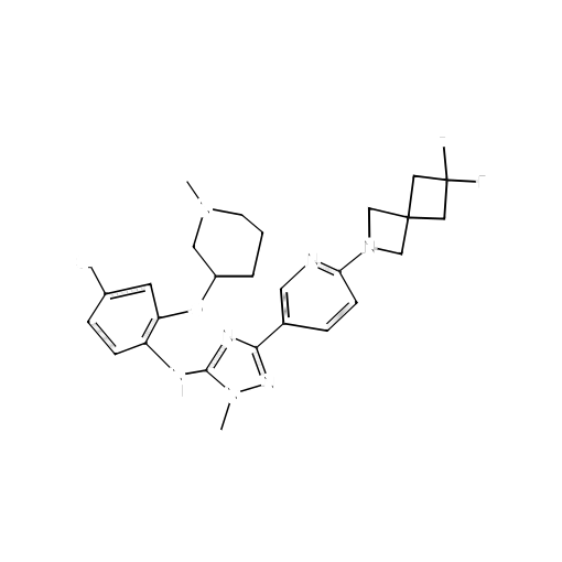 CN1CCCC(Oc2cc(Cl)ccc2Nc2nc(-c3ccc(N4CC5(C4)CC(F)(F)C5)nc3)nn2C)C1